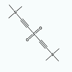 C[Si](C)(C)C#CS(=O)(=O)C#C[Si](C)(C)C